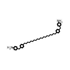 Nc1ccc(Cc2ccc(CCCCCCCCCCCCCCCCCCCCc3ccc(Cc4ccc(N)cc4)cc3)cc2)cc1